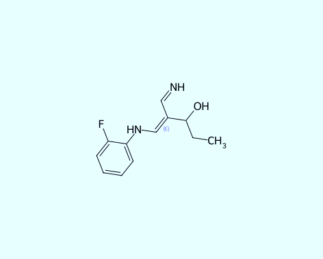 CCC(O)/C(C=N)=C/Nc1ccccc1F